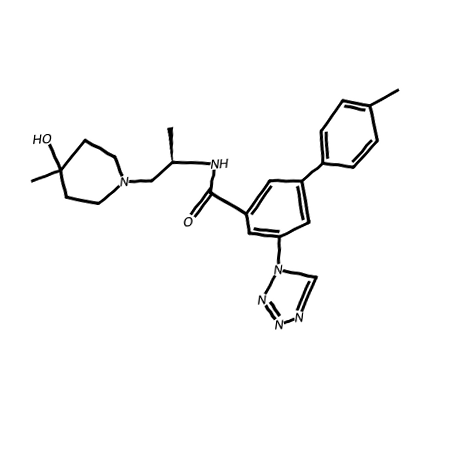 Cc1ccc(-c2cc(C(=O)N[C@H](C)CN3CCC(C)(O)CC3)cc(-n3cnnn3)c2)cc1